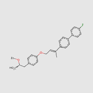 CCO[C@@H](Cc1ccc(OC/C=C(\C)c2ccc(-c3ccc(F)cc3)cc2)cc1)C(=O)O